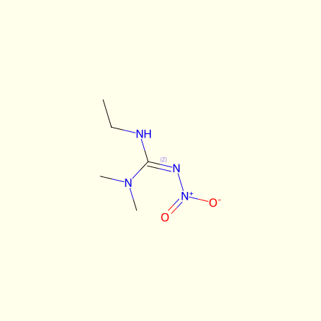 CCN/C(=N/[N+](=O)[O-])N(C)C